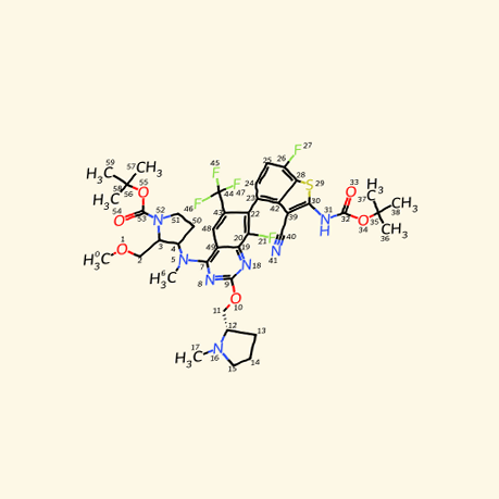 COCC1C(N(C)c2nc(OC[C@@H]3CCCN3C)nc3c(F)c(-c4ccc(F)c5sc(NC(=O)OC(C)(C)C)c(C#N)c45)c(C(F)(F)F)cc23)CCN1C(=O)OC(C)(C)C